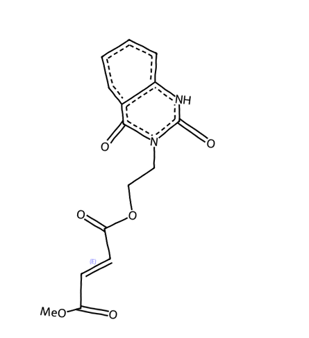 COC(=O)/C=C/C(=O)OCCn1c(=O)[nH]c2ccccc2c1=O